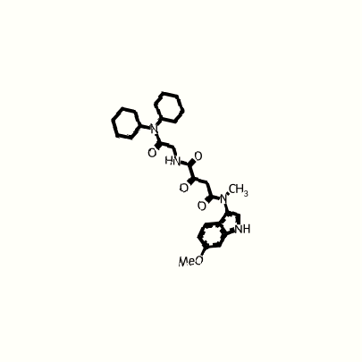 COc1ccc2c(N(C)C(=O)CC(=O)C(=O)NCC(=O)N(C3CCCCC3)C3CCCCC3)c[nH]c2c1